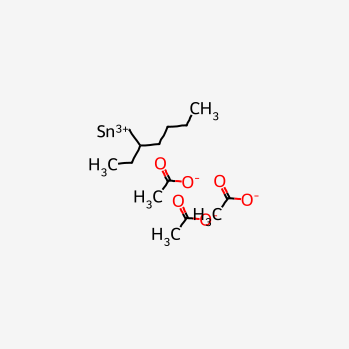 CC(=O)[O-].CC(=O)[O-].CC(=O)[O-].CCCCC(CC)[CH2][Sn+3]